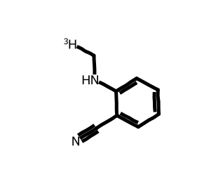 [3H]CNc1ccccc1C#N